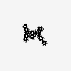 c1ccc(-c2ccc(-c3nc(-c4ccccc4)nc(-c4ccc(-n5c6cc7ccccc7cc6c6cc7ccccc7cc65)c5ccccc45)n3)cc2)cc1